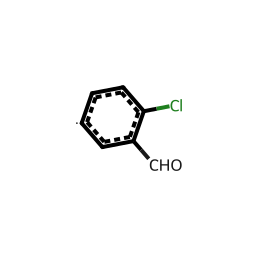 O=Cc1c[c]ccc1Cl